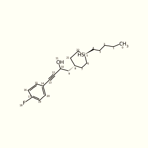 CCCCC[Si@H]1CC[C@H](CC(O)C#Cc2ccc(F)cc2)CC1